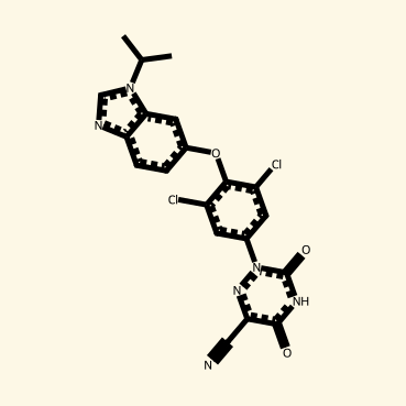 CC(C)n1cnc2ccc(Oc3c(Cl)cc(-n4nc(C#N)c(=O)[nH]c4=O)cc3Cl)cc21